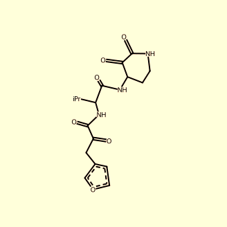 CC(C)C(NC(=O)C(=O)Cc1ccoc1)C(=O)NC1CCNC(=O)C1=O